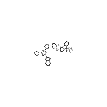 CC1(C)c2ccccc2-c2c1ccc1c2Oc2ccc(-c3cccc(-c4nc(-c5ccccc5)nc(-c5ccc6ccccc6c5)n4)c3)cc2O1